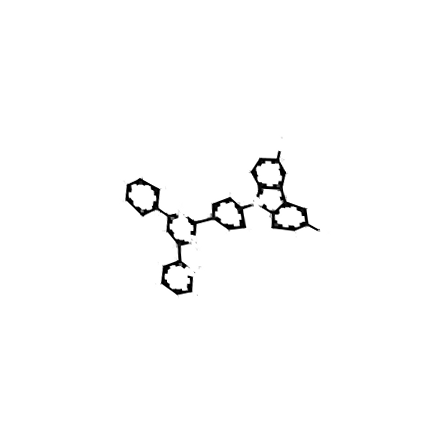 Fc1ccc2c(c1)c1cc(F)ccc1n2-c1ccc(-c2nc(-c3ccccc3)cc(-c3ccccn3)n2)cc1